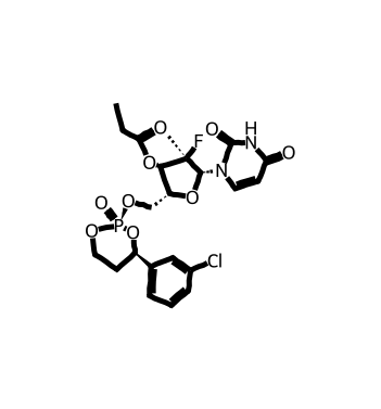 CCC(=O)O[C@@H]1[C@@H](CO[P@]2(=O)OCC[C@H](c3cccc(Cl)c3)O2)O[C@@H](n2ccc(=O)[nH]c2=O)[C@]1(C)F